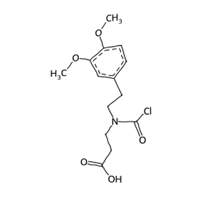 COc1ccc(CCN(CCC(=O)O)C(=O)Cl)cc1OC